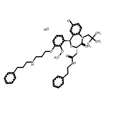 COc1c(OCCCNCCCc2ccccc2)cccc1[C@@H]1O[C@@H](CC(=O)NCCc2ccccc2)C(=O)N(CC(C)(C)C)c2ccc(Cl)cc21.Cl